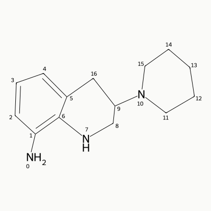 Nc1cccc2c1NCC(N1CCCCC1)C2